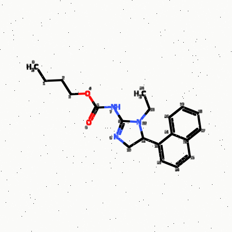 CCCCOC(=O)NC1=NCC(c2cccc3ccccc23)N1CC